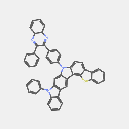 C1=CC2N=C(c3ccccc3)C(c3ccc(-n4c5cc6c(cc5c5c7sc8ccccc8c7ccc54)c4ccccc4n6-c4ccccc4)cc3)=NC2C=C1